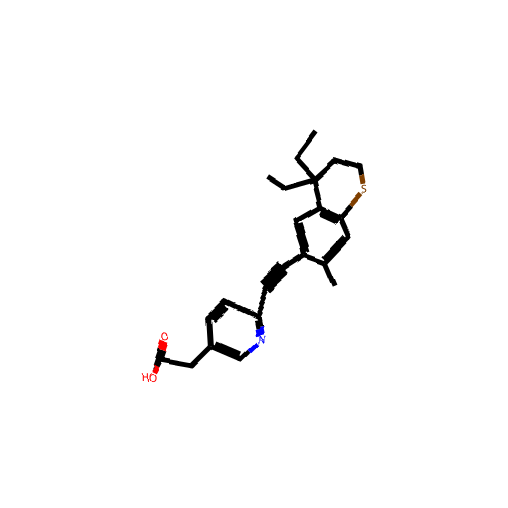 CCC1(CC)CCSc2cc(C)c(C#Cc3ccc(CC(=O)O)cn3)cc21